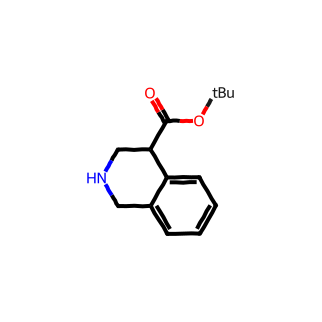 CC(C)(C)OC(=O)C1CNCc2ccccc21